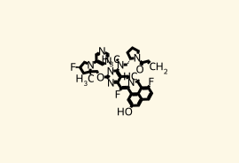 C#Cc1c(F)ccc2cc(O)cc(-c3ncc4c(N(C)C[C@@H]5CCCN5C(=O)C=C)nc(OC[C@]5(C)C[C@@H](F)CN5c5cncnc5)nc4c3F)c12